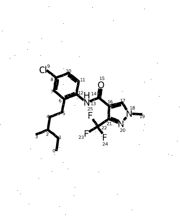 CCC(C)CCc1cc(Cl)ccc1NC(=O)c1cn(C)nc1C(F)(F)F